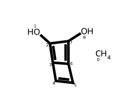 C.Oc1c2ccc-2c1O